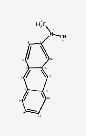 CN(C)c1ccc2cc3cc[c]cc3cc2c1